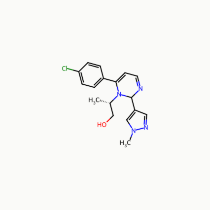 C[C@@H](CO)N1C(c2ccc(Cl)cc2)=CC=NC1c1cnn(C)c1